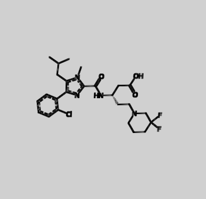 CC(C)Cc1c(-c2ccccc2Cl)nc(C(=O)N[C@@H](CCN2CCCC(F)(F)C2)CC(=O)O)n1C